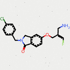 NC/C(=C/F)COc1ccc2c(c1)CN(Cc1ccc(Cl)cc1)C2=O